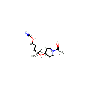 CC(=O)N1CCC(O[Si](C)(C)CCCOC#N)CC1